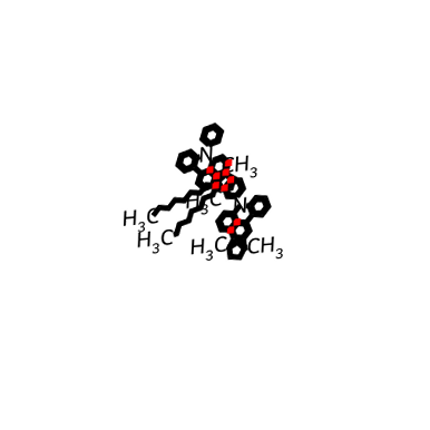 CCCCCCCCC1(CCCCCCCC)c2cc(N(c3ccccc3)c3ccccc3-c3ccc4c(c3)C3(C)CCC4(C)C3)ccc2-c2ccc(N(c3ccccc3)c3ccccc3-c3ccc4c(c3)C3(C)CCC4(C)C3)cc21